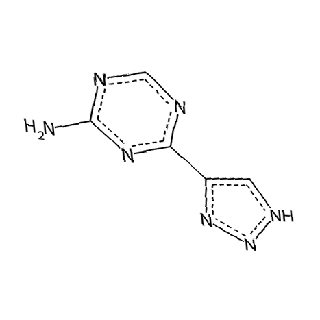 Nc1ncnc(-c2c[nH]nn2)n1